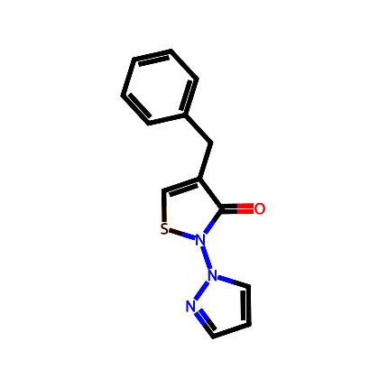 O=c1c(Cc2ccccc2)csn1-n1cccn1